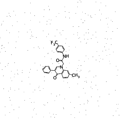 Cc1ccc2c(=O)c(-c3ccccc3)cn(CC(=O)Nc3ccc(C(F)(F)F)cc3)c2c1